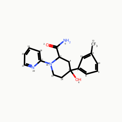 NC(=O)C1CC(O)(c2cccc(C(F)(F)F)c2)[C]CN1c1ccccn1